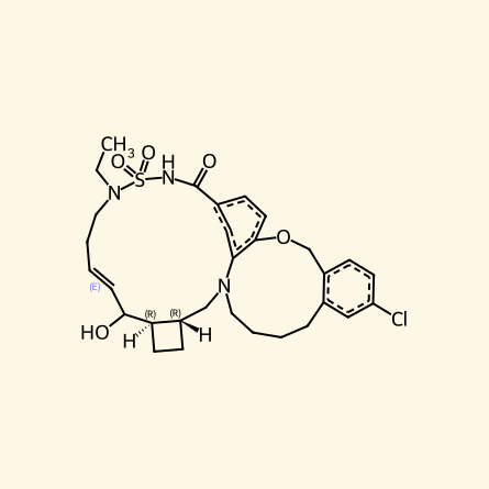 CCN1CC/C=C/C(O)[C@@H]2CC[C@H]2CN2CCCCc3cc(Cl)ccc3COc3ccc(cc32)C(=O)NS1(=O)=O